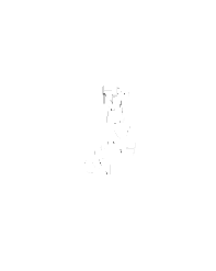 CC(C)c1ccccc1NC(=O)CC(=O)Nc1ccc(Oc2ccnc3[nH]ccc23)c(F)c1